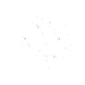 c1ccc(-n2c(-c3cc(-c4cc(-c5nc6ccccc6n5-c5ccccc5)cc(N5c6ccccc6Sc6ccccc65)c4)cc(N4c5ccccc5Oc5ccccc54)c3)nc3ccccc32)cc1